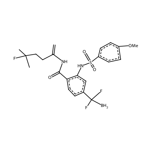 BC(F)(F)c1ccc(C(=O)NC(=C)CCC(C)(C)F)c(NS(=O)(=O)c2ccc(OC)cc2)c1